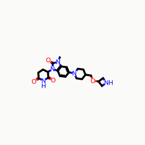 Cn1c(=O)n(C2CCC(=O)NC2=O)c2ccc(N3CCC(COC4CNC4)CC3)cc21